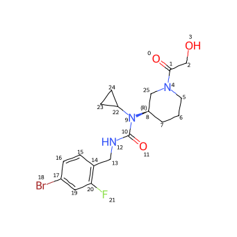 O=C(CO)N1CCC[C@@H](N(C(=O)NCc2ccc(Br)cc2F)C2CC2)C1